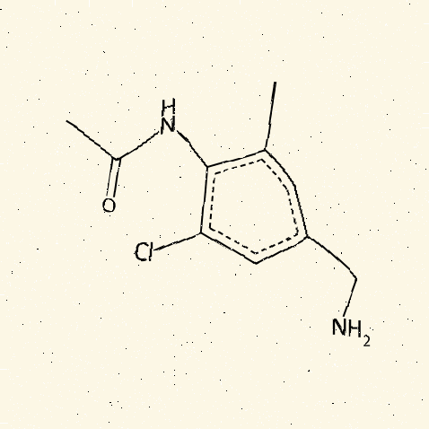 CC(=O)Nc1c(C)cc(CN)cc1Cl